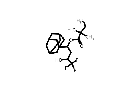 CCC(C)(C)C(=O)OC(CC(O)C(F)(F)F)C12CC3CC(CC(C3)C1)C2